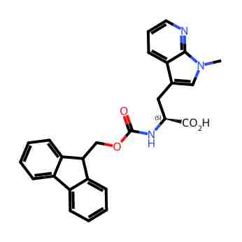 Cn1cc(C[C@H](NC(=O)OCC2c3ccccc3-c3ccccc32)C(=O)O)c2cccnc21